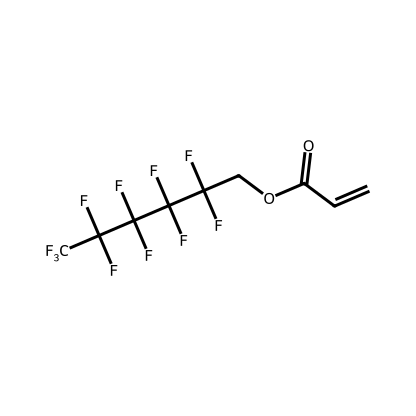 C=CC(=O)OCC(F)(F)C(F)(F)C(F)(F)C(F)(F)C(F)(F)F